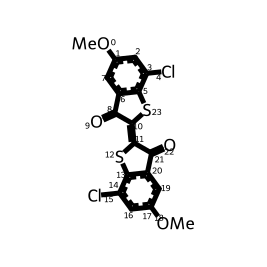 COc1cc(Cl)c2c(c1)C(=O)/C(=C1\Sc3c(Cl)cc(OC)cc3C1=O)S2